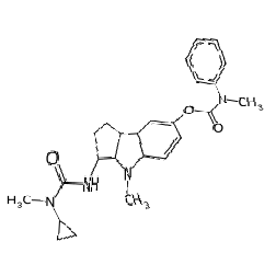 CN(C(=O)OC1=CC2C3CCC(NC(=O)N(C)C4CC4)C3N(C)C2C=C1)c1ccccc1